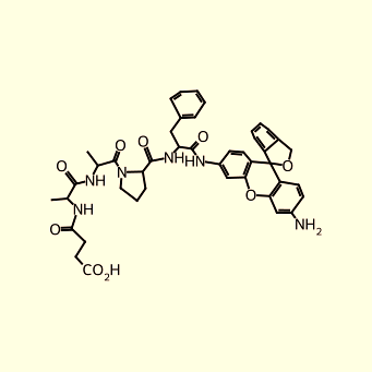 CC(NC(=O)CCC(=O)O)C(=O)NC(C)C(=O)N1CCCC1C(=O)NC(Cc1ccccc1)C(=O)Nc1ccc2c(c1)Oc1cc(N)ccc1C21OCc2ccccc21